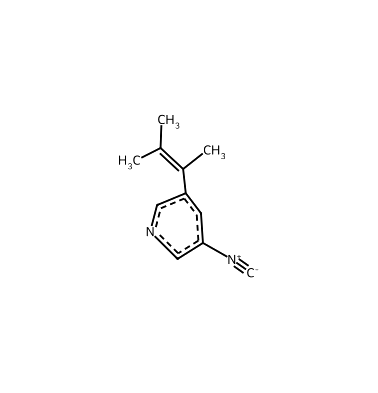 [C-]#[N+]c1cncc(C(C)=C(C)C)c1